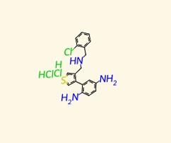 Cl.Cl.Nc1ccc(N)c(-c2cscc2CNCc2ccccc2Cl)c1